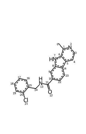 Cc1nccc2c1[nH]c1cc(C(=O)NCc3ccccc3Cl)ccc12